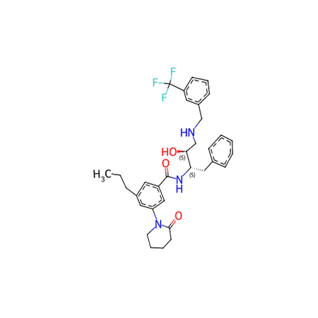 CCCc1cc(C(=O)N[C@@H](Cc2ccccc2)[C@@H](O)CNCc2cccc(C(F)(F)F)c2)cc(N2CCCCC2=O)c1